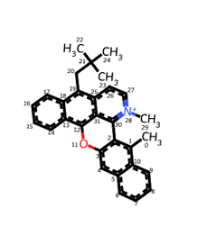 Cc1c2c(cc3ccccc13)Oc1c3ccccc3c(CC(C)(C)C)c3cc[n+](C)c-2c13